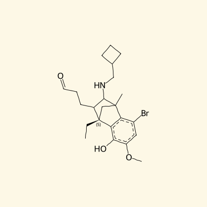 CC[C@@]12CC(C)(c3c(Br)cc(OC)c(O)c31)C(NCC1CCC1)C2CCC=O